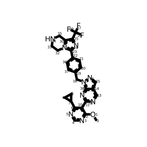 COc1ncnc(C2CC2)c1-c1ncc2cnn(Cc3ccc(-c4nc(C(F)(F)F)c5n4CCNC5)cc3)c2n1